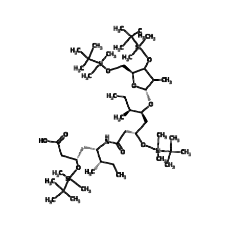 CC[C@H](C)[C@H](C[C@@H](CC(=O)O)O[Si](C)(C)C(C)(C)C)NC(=O)C[C@H](C[C@H](O[C@@H]1O[C@@H](CO[Si](C)(C)C(C)(C)C)C(O[Si](C)(C)C(C)(C)C)C1C)[C@@H](C)CC)O[Si](C)(C)C(C)(C)C